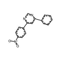 O=[N+]([O-])c1ccc(-c2cc(-c3ccccc3)ncn2)cc1